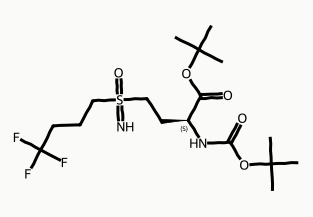 CC(C)(C)OC(=O)N[C@@H](CCS(=N)(=O)CCCC(F)(F)F)C(=O)OC(C)(C)C